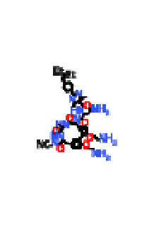 CCC(=Cc1ccc(-c2nc(C)c(C(=O)NC(CCN)C(=O)N(C)C3C(=O)NC(C)C(=O)NC(C(=O)NCC#N)Cc4ccc(OCCN)c(c4)-c4cc3ccc4OCCN)c(C)n2)cc1)CC